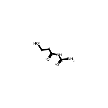 NC(=O)NC(=O)CCO